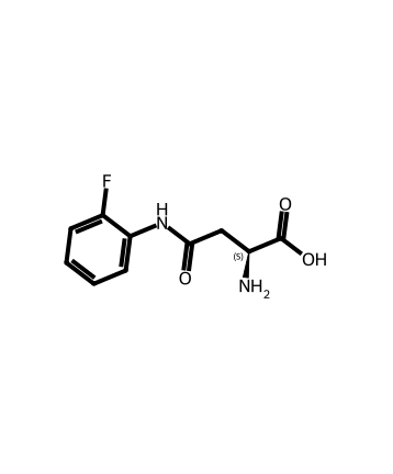 N[C@@H](CC(=O)Nc1ccccc1F)C(=O)O